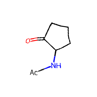 CC(=O)NC1CCCC1=O